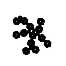 c1ccc(-c2ccc(N3c4ccc(-c5ccccc5)cc4B4c5ccc(-c6ccc7oc8ccccc8c7c6)cc5N(c5ccc(-c6ccccc6)cc5)c5cc(-c6ccc7c(c6)c6ccccc6n7-c6ccccc6)cc3c54)cc2)cc1